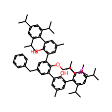 Cc1cc(-c2cc(Cc3ccccc3)cc(-c3cc(C)cc(-c4c(C(C)C)cc(C(C)C)cc4C(C)C)c3O)c2OCCCP(C)C)c(O)c(-c2c(C(C)C)cc(C(C)C)cc2C(C)C)c1